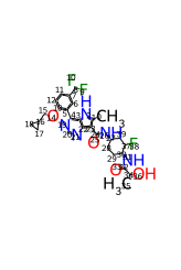 Cc1[nH]c2c(-c3cc(C(F)F)ccc3OCC3CC3)ncnc2c1C(=O)NC1CCC(NC(=O)[C@H](C)O)C(F)C1